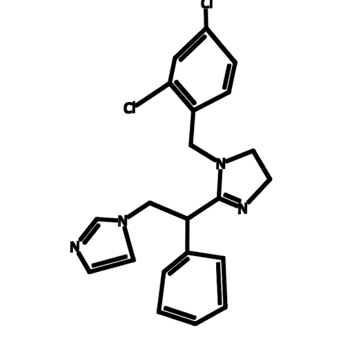 Clc1ccc(CN2CCN=C2C(Cn2ccnc2)c2ccccc2)c(Cl)c1